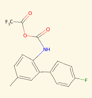 Cc1ccc(NC(=O)OC(=O)C(F)(F)F)c(-c2ccc(F)cc2)c1